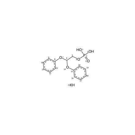 O=P(O)(O)OCC(Oc1ccccc1)Oc1ccccc1.[KH]